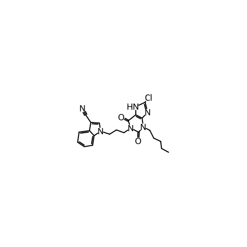 CCCCCn1c(=O)n(CCCn2cc(C#N)c3ccccc32)c(=O)c2[nH]c(Cl)nc21